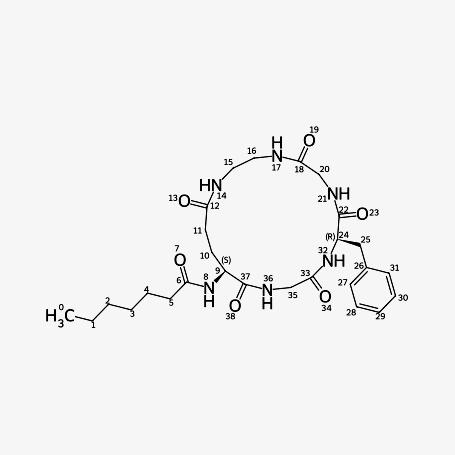 CCCCCCC(=O)N[C@H]1CCC(=O)NCCNC(=O)CNC(=O)[C@@H](Cc2ccccc2)NC(=O)CNC1=O